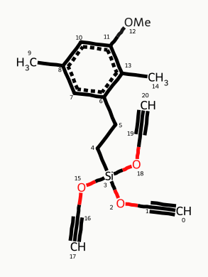 C#CO[Si](CCc1cc(C)cc(OC)c1C)(OC#C)OC#C